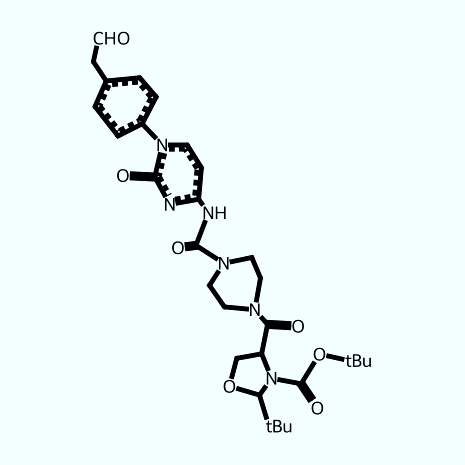 CC(C)(C)OC(=O)N1C(C(=O)N2CCN(C(=O)Nc3ccn(-c4ccc(CC=O)cc4)c(=O)n3)CC2)COC1C(C)(C)C